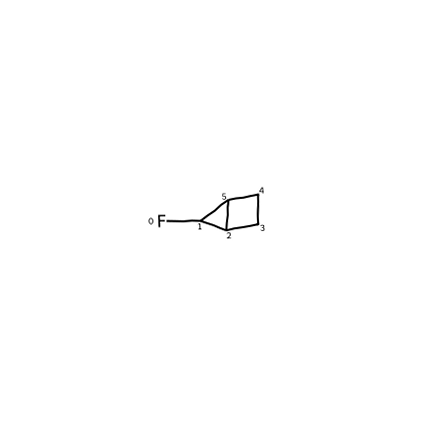 FC1C2CCC12